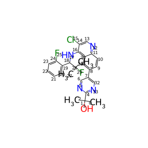 CC(C)(O)c1ncc(-c2ccc3ncc(Cl)c(NC(c4ccccc4F)C(C)(C)F)c3c2)cn1